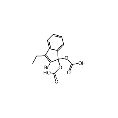 CCC1=C(Br)C(OC(=O)O)(OC(=O)O)c2ccccc21